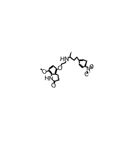 COc1ccc(OCCNC(C)CCc2ccc([N+](=O)[O-])cc2)c2c1NC(=O)CC2